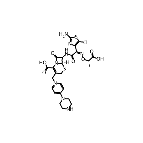 C[C@H](O/N=C(\C(=O)N[C@@H]1C(=O)N2C(C(=O)O)=C(C[n+]3ccc(N4CCNCC4)cc3)CS[C@H]12)c1nc(N)sc1Cl)C(=O)O